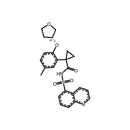 Cc1ccc(O[C@@H]2CCOC2)c(C2(C(=O)NS(=O)(=O)c3cccc4ncccc34)CC2)c1